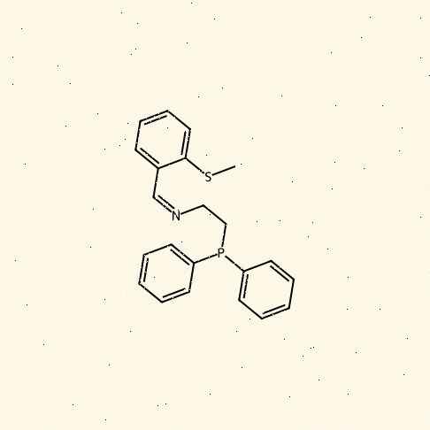 CSc1ccccc1/C=N\CCP(c1ccccc1)c1ccccc1